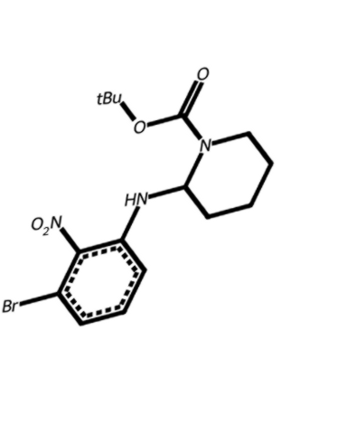 CC(C)(C)OC(=O)N1CCCCC1Nc1cccc(Br)c1[N+](=O)[O-]